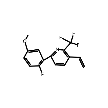 C=Cc1ccc(-c2cc(OC)ccc2F)nc1C(F)(F)F